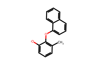 Cc1cccc([O])c1Oc1cccc2ccccc12